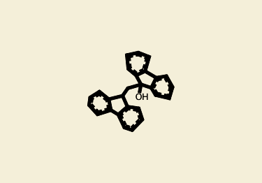 OC1(CC2c3ccccc3-c3ccccc32)c2ccccc2-c2ccccc21